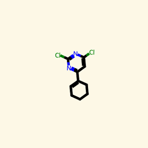 Clc1cc(C2=CCCCC2)nc(Cl)n1